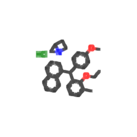 C1CN2CC12.CCOc1c(C)cccc1C(c1ccc(OC)cc1)c1cccc2ccccc12.Cl